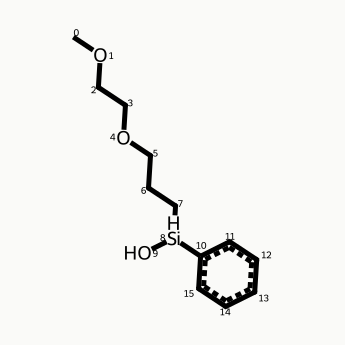 COCCOCCC[SiH](O)c1ccccc1